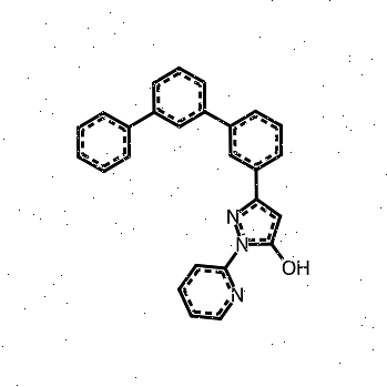 Oc1cc(-c2cccc(-c3cccc(-c4ccccc4)c3)c2)nn1-c1ccccn1